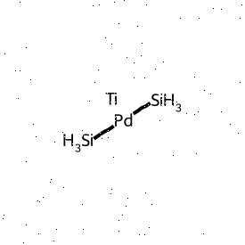 [SiH3][Pd][SiH3].[Ti]